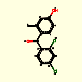 Cc1cc(O)ccc1C(=O)c1ccc(Cl)cc1Cl